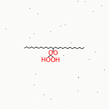 CCCCCCCCCCCCCC(CCCCCCCCCCCC)C(=O)OC(CO)CO